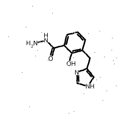 NNC(=O)c1cccc(Cc2c[nH]cn2)c1O